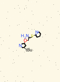 CC(C)(C)c1cncc(OC[C@@H](N)CSc2ccccn2)c1